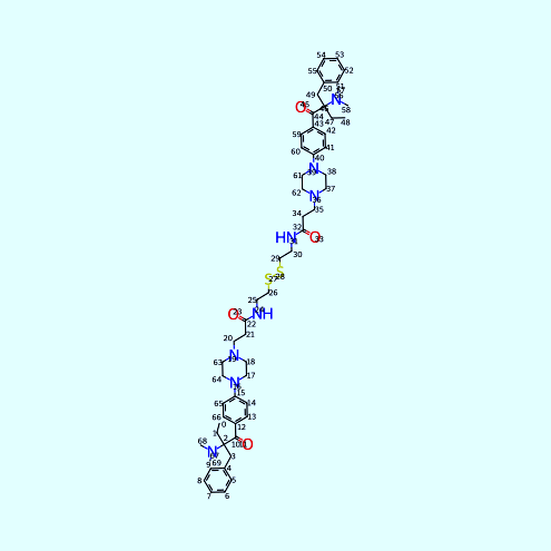 CCC(Cc1ccccc1)(C(=O)c1ccc(N2CCN(CCC(=O)NCCSSCCNC(=O)CCN3CCN(c4ccc(C(=O)C(CC)(Cc5ccccc5)N(C)C)cc4)CC3)CC2)cc1)N(C)C